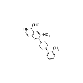 Cc1ccccc1N1CCN(c2cc3c(cc2[N+](=O)[O-])C(C=O)NC=C3)CC1